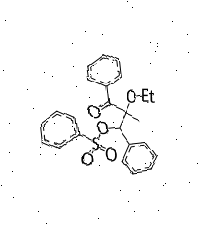 CCOC(C)(C(=O)c1ccccc1)C(OS(=O)(=O)c1ccccc1)c1ccccc1